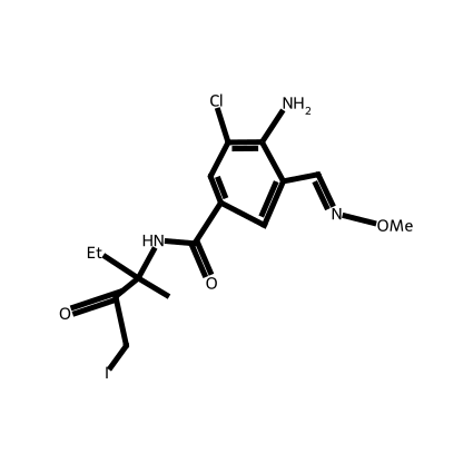 CCC(C)(NC(=O)c1cc(Cl)c(N)c(C=NOC)c1)C(=O)CI